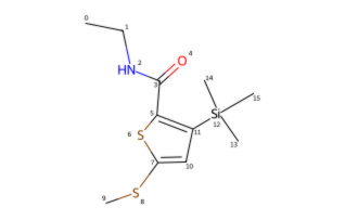 CCNC(=O)c1sc(SC)cc1[Si](C)(C)C